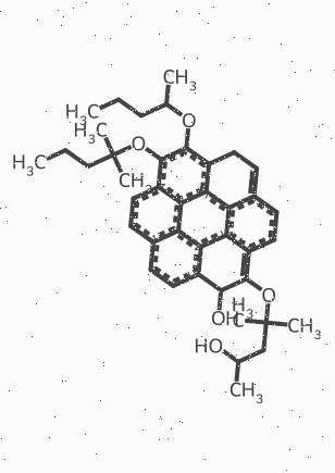 CCCC(C)Oc1c(OC(C)(C)CCC)c2ccc3ccc4c5c6c(ccc7c6c(c1CC=7)c2c35)=C(OC(C)(C)CC(C)O)C4O